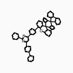 c1ccc(-c2ccc(-c3cc(-c4ccc(-c5cccc6c5Oc5ccccc5C65c6ccccc6C6(c7ccccc7-c7ccccc76)c6ccccc65)cc4)nc(-c4ccccc4)n3)cc2)cc1